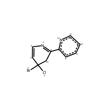 ClC1(Br)C=CN=C(c2ccccn2)C1